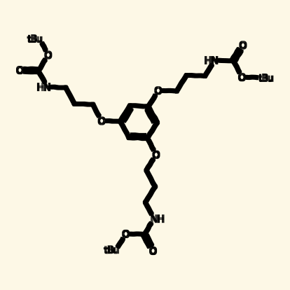 CC(C)(C)OC(=O)NCCCOc1cc(OCCCNC(=O)OC(C)(C)C)cc(OCCCNC(=O)OC(C)(C)C)c1